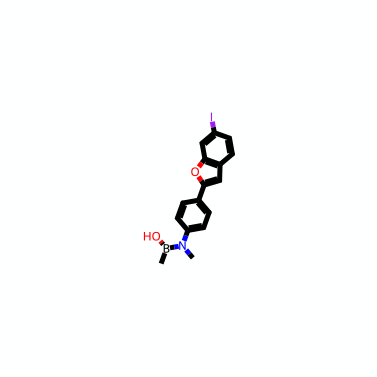 CB(O)N(C)c1ccc(-c2cc3ccc(I)cc3o2)cc1